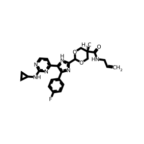 C=CCNC(=O)C1(C)COC(c2nc(-c3ccc(F)cc3)c(-c3ccnc(NC4CC4)n3)[nH]2)OC1